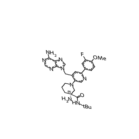 COc1ccc(-c2cc(Cn3cnc4c(N)ncnc43)c(N3CCC[C@](N)(C(=O)NC(C)(C)C)C3)cn2)cc1F